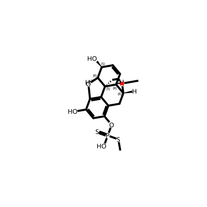 CSP(O)(=S)Oc1cc(O)c2c3c1C[C@@H]1[C@@H]4C=C[C@H](O)[C@H](O2)[C@]34CCN1C